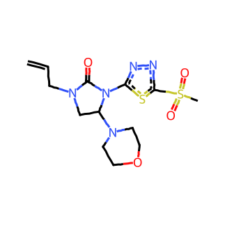 C=CCN1CC(N2CCOCC2)N(c2nnc(S(C)(=O)=O)s2)C1=O